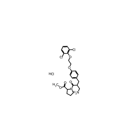 COC(=O)C1CCCN1C(=O)C(CN)Cc1ccc(OCCOc2c(Cl)cccc2Cl)cc1.Cl